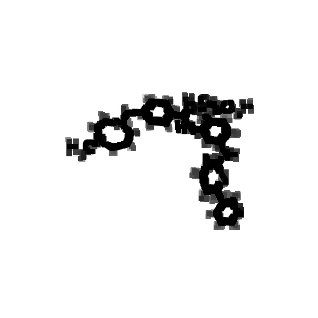 CN1CCCN(Cc2ccc(C(=O)Nc3cc(Nc4nccc(-c5cccnc5)n4)ccc3F)cc2)CC1.CS(=O)(=O)O